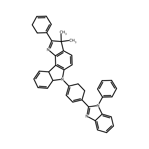 CC1(C)C(C2=CC=CCC2)=Nc2c1ccc1c2C2C=CC=CC2N1C1=CC=C(c2nc3ccccc3n2-c2ccccc2)CC1